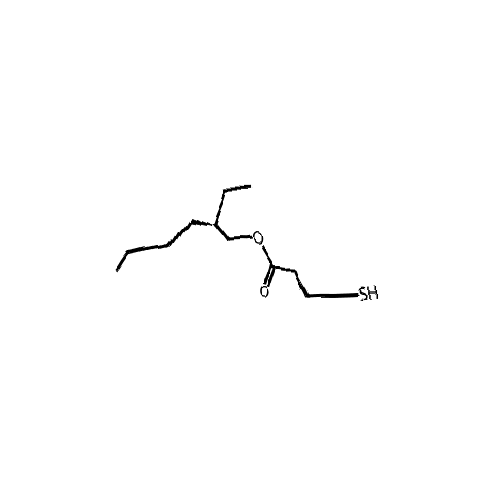 CCCC[C@@H](CC)COC(=O)CCS